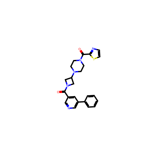 O=C(c1cncc(-c2ccccc2)c1)N1CC(N2CCN(C(=O)c3nccs3)CC2)C1